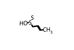 CC=CCS(O)=S